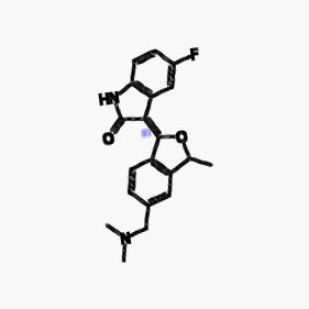 CC1O/C(=C2/C(=O)Nc3ccc(F)cc32)c2ccc(CN(C)C)cc21